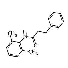 Cc1cccc(C)c1NC(=O)CCc1ccccc1